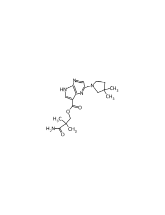 CC1(C)CCN(c2cnc3[nH]cc(C(=O)OCC(C)(C)C(N)=O)c3n2)C1